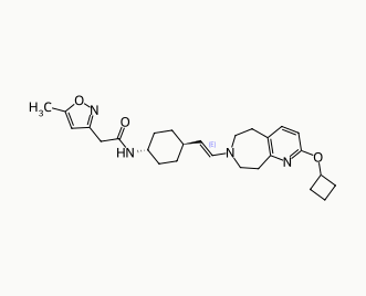 Cc1cc(CC(=O)N[C@H]2CC[C@H](/C=C/N3CCc4ccc(OC5CCC5)nc4CC3)CC2)no1